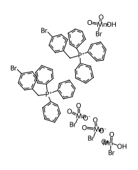 Brc1ccc(C[P+](c2ccccc2)(c2ccccc2)c2ccccc2)cc1.Brc1ccc(C[P+](c2ccccc2)(c2ccccc2)c2ccccc2)cc1.[O]=[Mn](=[O])([O-])[Br].[O]=[Mn](=[O])([O-])[Br].[O]=[Mn](=[O])([OH])[Br].[O]=[Mn](=[O])([OH])[Br]